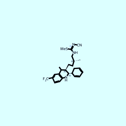 CS/C(=N/C#N)NC[C@H](C)CC[C@@H]1C(C)c2cc(C(F)(F)F)ccc2N[C@H]1C1C=CC=CC1